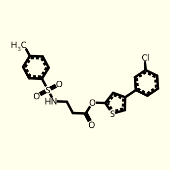 Cc1ccc(S(=O)(=O)NCCC(=O)Oc2cc(-c3cccc(Cl)c3)cs2)cc1